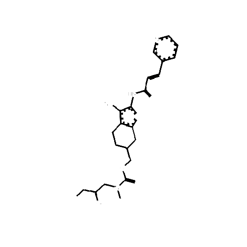 CN(CC(O)CO)C(=O)OCC1CCc2c(sc(NC(=O)/C=C/c3cccnc3)c2C#N)C1